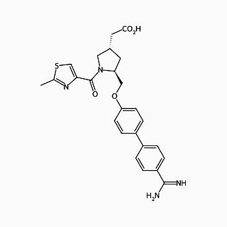 Cc1nc(C(=O)N2C[C@H](CC(=O)O)C[C@H]2COc2ccc(-c3ccc(C(=N)N)cc3)cc2)cs1